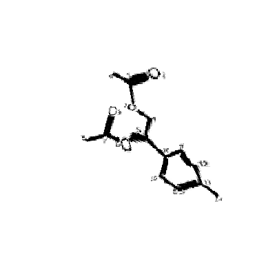 CC(=O)OCC(OC(C)=O)c1ccc(C)cc1